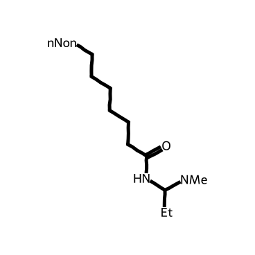 CCCCCCCCCCCCCCCC(=O)NC(CC)NC